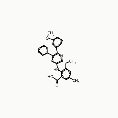 CCc1cc(C)cc(C(=O)O)c1Nc1cnc(-c2cccc(OC)c2)c(-c2ccccc2)c1